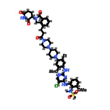 CCc1cc(Nc2ncc(Cl)c(Nc3cccc(OC)c3N(C)S(C)(=O)=O)n2)c(OC)cc1N1CCC(N2CCN(C(=O)CCc3cccc4c3CN(C3CCC(=O)NC3=O)C4=O)CC2)CC1